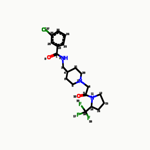 O=C(NCC1CCN(CC(=O)N2CCCC2C(F)(F)F)CC1)c1cccc(Cl)c1